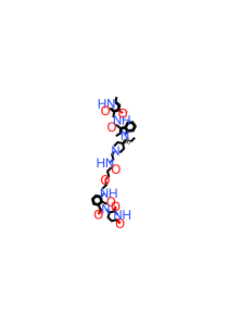 CC[C@@H](C1CCN(CCNC(=O)CCOCCNc2cccc3c2C(=O)N(C2CCC(=O)NC2=O)C3=O)CC1)n1c(C)c(C(=O)NCc2c(OC)cc(C)[nH]c2=O)c2ccccc21